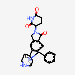 O=C1CCC(N2Cc3cc(C4CC5CN(Cc6ccccc6)CC4CN5)ccc3C2=O)C(=O)N1